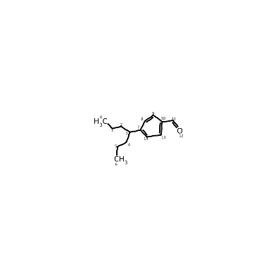 CCCC(CCC)c1ccc(C=O)cc1